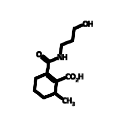 CC1CCCC(C(=O)NCCCO)=C1C(=O)O